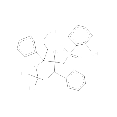 Cc1ccccc1S(=O)(=O)CC1(C(C)(C)C)C(c2ccccc2)OC(C)(C)OC1(CO[SiH3])c1ccccc1